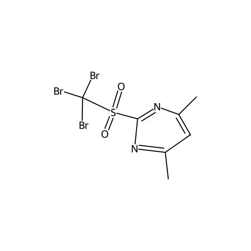 Cc1cc(C)nc(S(=O)(=O)C(Br)(Br)Br)n1